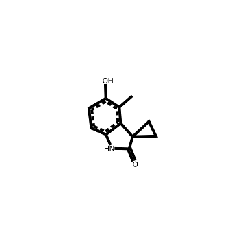 Cc1c(O)ccc2c1C1(CC1)C(=O)N2